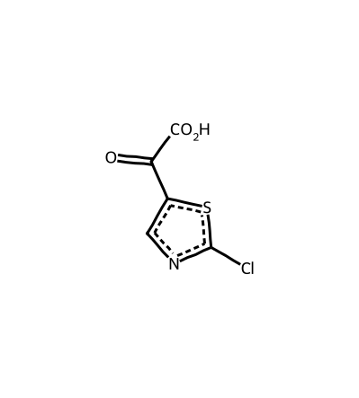 O=C(O)C(=O)c1cnc(Cl)s1